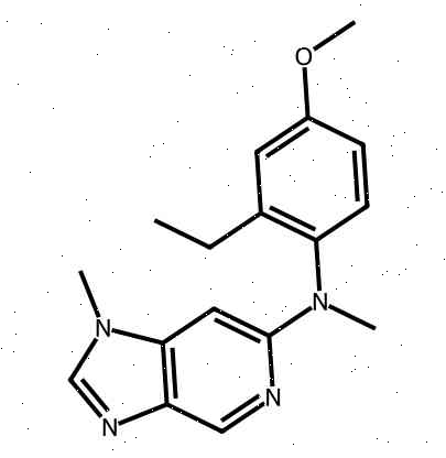 CCc1cc(OC)ccc1N(C)c1cc2c(cn1)ncn2C